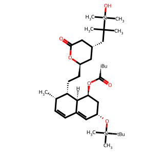 CC[C@H](C)C(=O)O[C@H]1C[C@H](O[Si](C)(C)C(C)(C)C)C=C2C=C[C@H](C)[C@H](CC[C@@H]3C[C@@H](CC(C)(C)[Si](C)(C)O)CC(=O)O3)[C@H]21